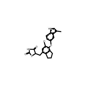 Cc1c[nH]c2ccc(Oc3c(Cl)cc(CC4SC(=O)NC4=O)c4c3CCC4)cc12